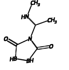 CNC(C)N1C(=O)BBC1=O